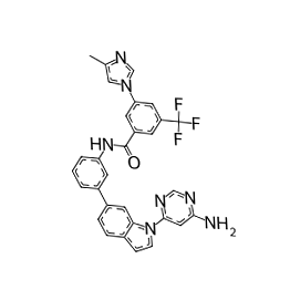 Cc1cn(-c2cc(C(=O)Nc3cccc(-c4ccc5ccn(-c6cc(N)ncn6)c5c4)c3)cc(C(F)(F)F)c2)cn1